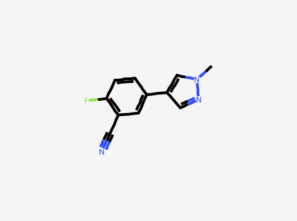 Cn1cc(-c2ccc(F)c(C#N)c2)cn1